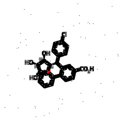 O=C(O)c1ccc(-c2ccccc2)c(C(c2ccc(Cl)cc2)[C@@H]2OC(O)[C@H](O)[C@@H]2O)c1